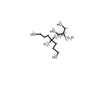 CC(CCCO)(CCCO)C(=O)O.O=C(O)C(CO)CO